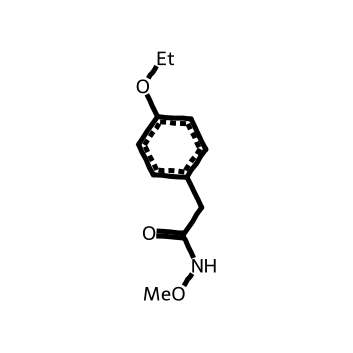 CCOc1ccc(CC(=O)NOC)cc1